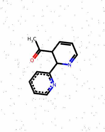 CC(=O)C1C=CC=NC1c1ccccn1